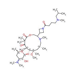 CO[C@]1(C)C[C@@H](C)CN(C)C(C2CN(C(=O)CCCN(C)CC(C)C)C2)COC(=O)C(C)(C)C(=O)[C@H](C)[C@H]1O[C@@H]1O[C@H](C)C[C@H](N(C)C)[C@H]1O